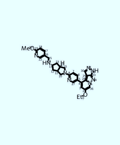 CCOc1cc(-c2ccc(N3CC4C[C@H](NCc5ccc(OC)nc5)C[C@H]4C3)nc2)c2c3cn[nH]c3nn2c1